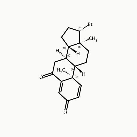 CC[C@H]1CC[C@H]2[C@@H]3CC(=O)C4=CC(=O)C=C[C@]4(C)[C@H]3CC[C@]12C